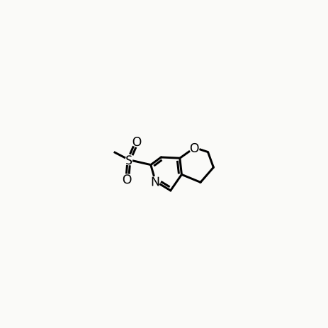 CS(=O)(=O)c1cc2c(cn1)CCCO2